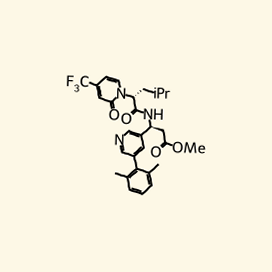 COC(=O)C[C@H](NC(=O)[C@@H](CC(C)C)n1ccc(C(F)(F)F)cc1=O)c1cncc(-c2c(C)cccc2C)c1